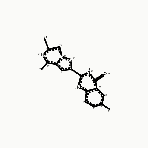 Cc1ccc2nc(-c3cc4c(C)nc(C)cn4n3)[nH]c(=O)c2c1